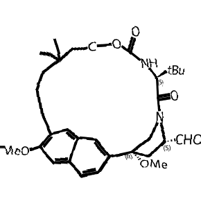 COc1cc2ccc3cc2cc1CCCC(C)(C)CCOC(=O)N[C@@H](C(C)(C)C)C(=O)N1C[C@@]3(OC)C[C@H]1C=O